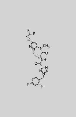 CN1C(=O)[C@@H](NC(=O)c2ncn(Cc3ccc(F)cc3F)n2)CCn2nc([C@@H]3CC3(F)F)cc21